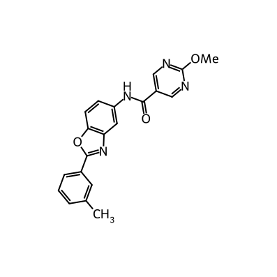 COc1ncc(C(=O)Nc2ccc3oc(-c4cccc(C)c4)nc3c2)cn1